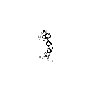 CC(=O)N(C)Cc1ccc(-c2ccc(N3CCOc4ncnc(N)c4C3=O)cc2)c(Cl)c1